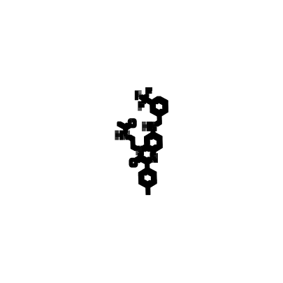 CC(=O)NCCn1c(=O)c(-c2ccc(C)cc2)nc2ccc(NCc3cccc(C(F)(F)F)c3)cc21